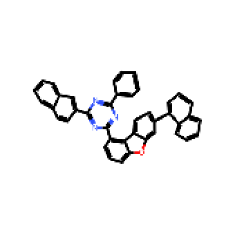 c1ccc(-c2nc(-c3ccc4ccccc4c3)nc(-c3cccc4oc5cc(-c6cccc7ccccc67)ccc5c34)n2)cc1